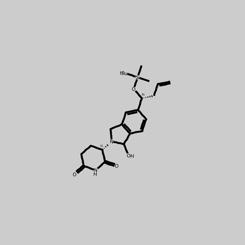 C=CC[C@@H](O[Si](C)(C)C(C)(C)C)c1ccc2c(c1)CN([C@H]1CCC(=O)NC1=O)C2O